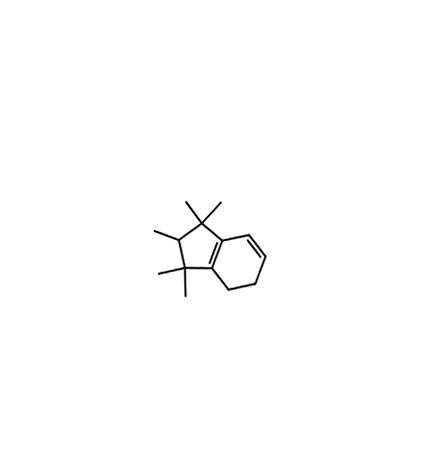 CC1C(C)(C)C2=C(CCC=C2)C1(C)C